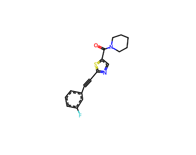 O=C(c1cnc(C#Cc2cccc(F)c2)s1)N1CCCCC1